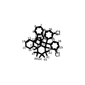 CC12C(=C3Cc4ccccc4C3=C3C=CCCC31)C(C)(C(C1=CC=CC1)(c1cccc(Cl)c1)c1cccc(Cl)c1)C(C)(C)C(C)(C)C2(C)C